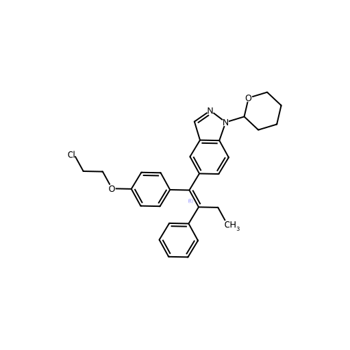 CC/C(=C(/c1ccc(OCCCl)cc1)c1ccc2c(cnn2C2CCCCO2)c1)c1ccccc1